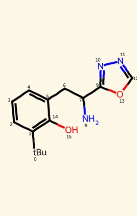 CC(C)(C)c1cccc(CC(N)c2nnco2)c1O